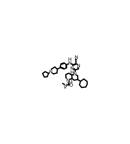 CN(C)C(=O)N1CCC[C@@H]2[C@H]1CC(C1CCCCCC1)CN2c1cnc(C#N)c(Nc2ccc(C3CCN(C4CCCC4)CC3)cc2)n1